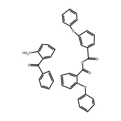 O=C(O)c1ccccc1C(=O)c1ccccc1.O=C(OC(=O)c1ccccc1Oc1ccccc1)c1cccc(Oc2ccccc2)c1